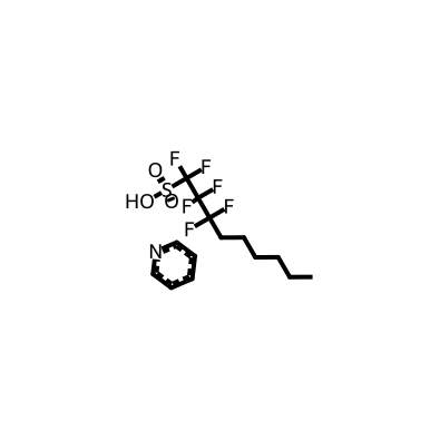 CCCCCCC(F)(F)C(F)(F)C(F)(F)S(=O)(=O)O.c1ccncc1